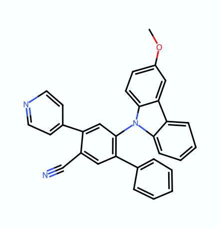 COc1ccc2c(c1)c1ccccc1n2-c1cc(-c2ccncc2)c(C#N)cc1-c1ccccc1